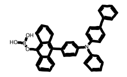 OB(O)Oc1c2ccccc2c(-c2ccc(N(c3ccccc3)c3ccc(-c4ccccc4)cc3)cc2)c2ccccc12